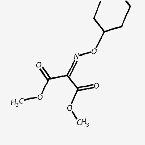 COC(=O)C(=NOC1CCCCC1)C(=O)OC